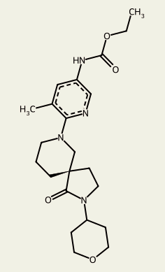 CCOC(=O)Nc1cnc(N2CCC[C@]3(CCN(C4CCOCC4)C3=O)C2)c(C)c1